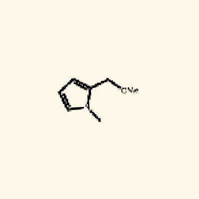 COCc1cccn1C